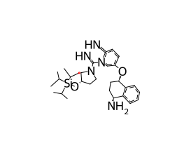 CC(C)[Si](O[C@H]1CCN(C(=N)n2cc(O[C@@H]3CC[C@H](N)c4ccccc43)ccc2=N)C1)(C(C)C)C(C)C